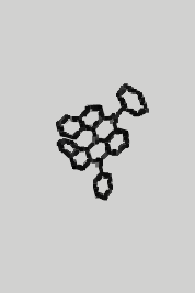 c1ccc(N2c3cccc4c3B(c3c2ccc2ccccc32)c2c(ccc3ccccc23)N4c2ccccc2)cc1